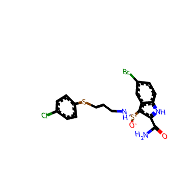 NC(=O)c1[nH]c2ccc(Br)cc2c1[S+]([O-])NCCCSc1ccc(Cl)cc1